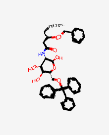 CCCCCCCCCCC[C@H](CC(=O)N[C@H]1[C@@H](O)[C@H](O)[C@@H](COC(c2ccccc2)(c2ccccc2)c2ccccc2)O[C@@H]1O)OCc1ccccc1